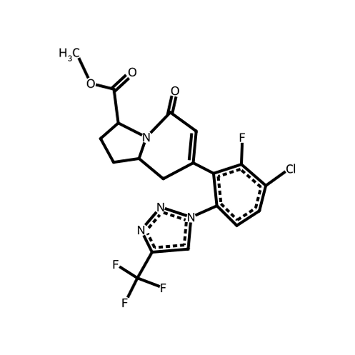 COC(=O)C1CCC2CC(c3c(-n4cc(C(F)(F)F)nn4)ccc(Cl)c3F)=CC(=O)N21